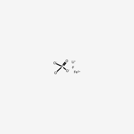 O=P([O-])([O-])[O-].[F].[Fe+2].[Li+]